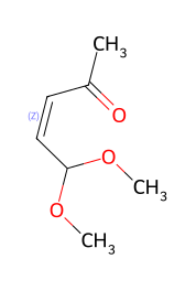 COC(/C=C\C(C)=O)OC